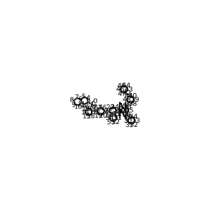 CC1(C)c2ccc3ccccc3c2-c2cccc(-c3ccc(-c4ccc(-c5nc(-c6ccccc6)cc(-c6cccc(-c7ccccc7)c6)n5)c5ccccc45)cc3)c21